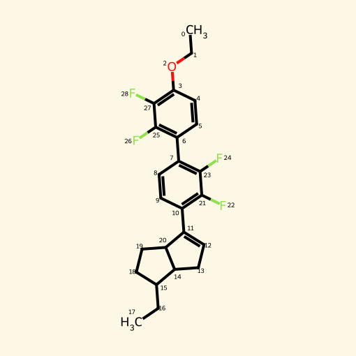 CCOc1ccc(-c2ccc(C3=CCC4C(CC)CCC34)c(F)c2F)c(F)c1F